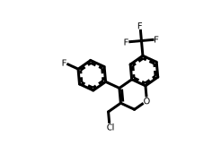 Fc1ccc(C2=C(CCl)COc3ccc(C(F)(F)F)cc32)cc1